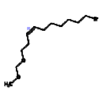 COCOCC/C=C\CCCCCCBr